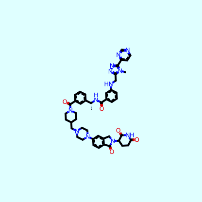 C[C@@H](NC(=O)c1cccc(NCc2nnc(-c3ccncn3)n2C)c1)c1cccc(C(=O)N2CCC(CN3CCN(c4ccc5c(c4)CN(C4CCC(=O)NC4=O)C5=O)CC3)CC2)c1